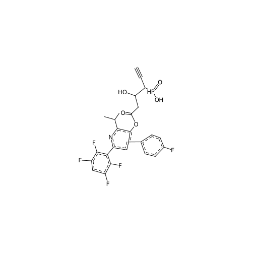 C#CC(C(O)CC(=O)Oc1c(-c2ccc(F)cc2)cc(-c2c(F)c(F)cc(F)c2F)nc1C(C)C)[PH](=O)O